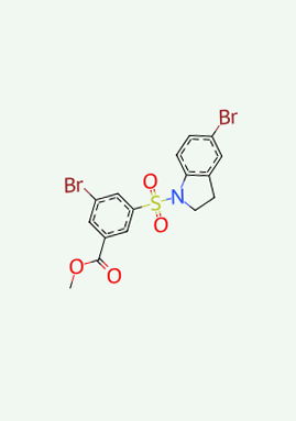 COC(=O)c1cc(Br)cc(S(=O)(=O)N2CCc3cc(Br)ccc32)c1